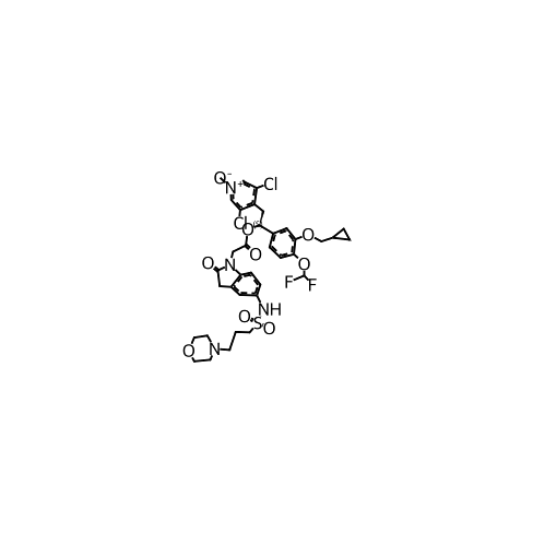 O=C(CN1C(=O)Cc2cc(NS(=O)(=O)CCCN3CCOCC3)ccc21)O[C@@H](Cc1c(Cl)c[n+]([O-])cc1Cl)c1ccc(OC(F)F)c(OCC2CC2)c1